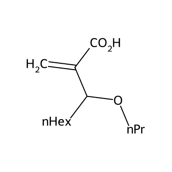 C=C(C(=O)O)C(CCCCCC)OCCC